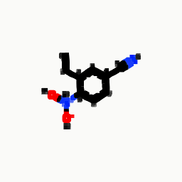 C=Cc1cc(C#N)ccc1[N+](=O)[O-]